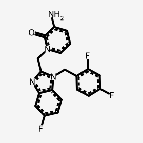 Nc1cccn(Cc2nc3cc(F)ccc3n2Cc2ccc(F)cc2F)c1=O